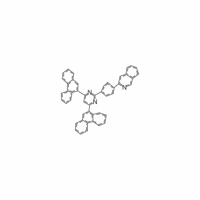 c1ccc2cc(-c3ccc(-c4nc(-c5cc6ccccc6c6ccccc56)cc(-c5cc6ccccc6c6ccccc56)n4)cc3)ncc2c1